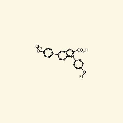 CCOc1ccc(-n2c(C(=O)O)cc3cc(-c4ccc(OC(F)(F)F)cc4)ccc32)cc1